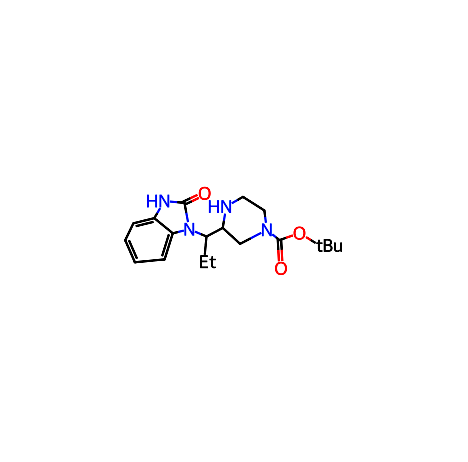 CCC(C1CN(C(=O)OC(C)(C)C)CCN1)n1c(=O)[nH]c2ccccc21